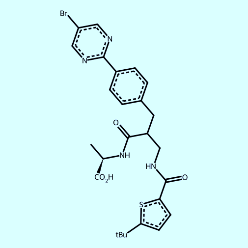 C[C@@H](NC(=O)C(CNC(=O)c1ccc(C(C)(C)C)s1)Cc1ccc(-c2ncc(Br)cn2)cc1)C(=O)O